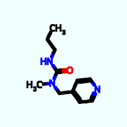 CCCNC(=O)N(C)Cc1ccncc1